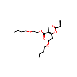 C=CC(=O)OC(CCOCCCC)=C(C)C(=O)OCCOCCCC